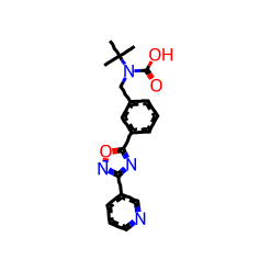 CC(C)(C)N(Cc1cccc(-c2nc(-c3cccnc3)no2)c1)C(=O)O